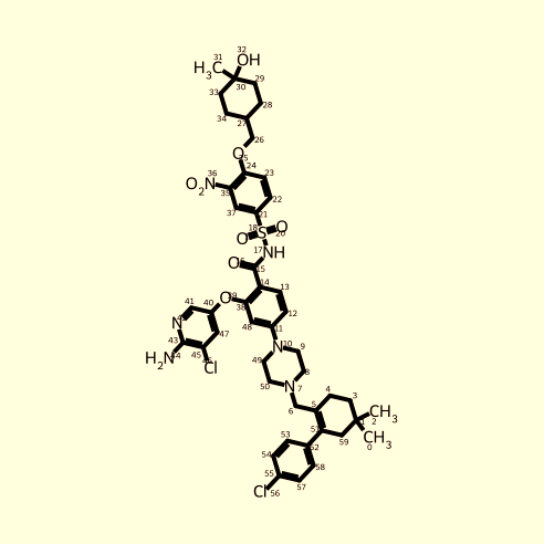 CC1(C)CCC(CN2CCN(c3ccc(C(=O)NS(=O)(=O)c4ccc(OCC5CCC(C)(O)CC5)c([N+](=O)[O-])c4)c(Oc4cnc(N)c(Cl)c4)c3)CC2)=C(c2ccc(Cl)cc2)C1